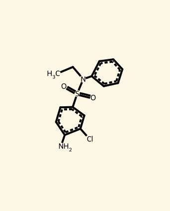 CCN(c1ccccc1)S(=O)(=O)c1ccc(N)c(Cl)c1